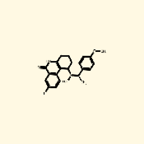 COc1ccc([C@@H](C)N(C)C2CCCc3[nH]c(=O)c4cc(F)ccc4c32)cc1